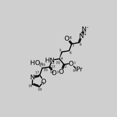 CC(C)OC(=O)[C@H](CCC(=O)C=[N+]=[N-])NC(=O)[C@@H](O)c1ncco1